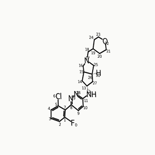 Fc1cccc(Cl)c1-c1ccc(N[C@@H]2CC3CN(CC4CCOCC4)C[C@H]3C2)nn1